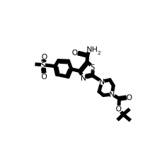 CC(C)(C)OC(=O)N1CCN(c2nc(-c3ccc(S(C)(=O)=O)cc3)c(C(N)=O)s2)CC1